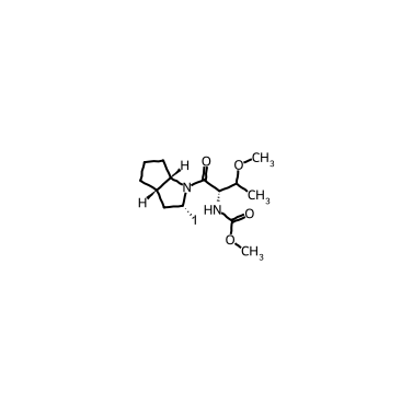 COC(=O)N[C@H](C(=O)N1[C@H](I)C[C@@H]2CCC[C@@H]21)C(C)OC